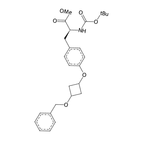 COC(=O)[C@H](Cc1ccc(OC2CC(OCc3ccccc3)C2)cc1)NC(=O)OC(C)(C)C